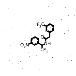 O=C(Cc1cccc(C(F)(F)F)c1)NC(c1cccc([N+](=O)[O-])c1)C(F)(F)F